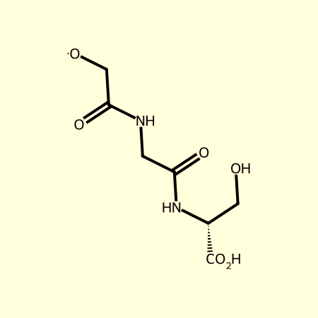 [O]CC(=O)NCC(=O)N[C@H](CO)C(=O)O